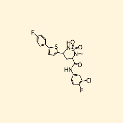 CN1C(C(=O)Nc2ccc(F)c(Cl)c2)CC(c2ccc(-c3ccc(F)cc3)s2)NS1(=O)=O